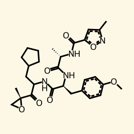 COc1ccc(C[C@H](NC(=O)[C@H](C)NC(=O)c2cc(C)no2)C(=O)NC(CC2CCCC2)C(=O)[C@@]2(C)CO2)cc1